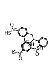 O=[N+](S)c1ccc(CC(c2ccccc2)c2ccc([N+](=O)S)cc2[N+](=O)S)c([N+](=O)S)c1